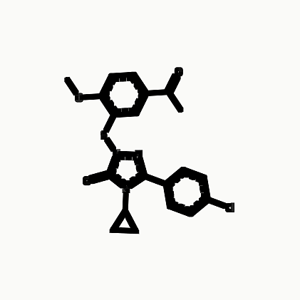 COc1ccc(C(C)=O)cc1Sn1nc(-c2ccc(Cl)cc2)n(C2CC2)c1=O